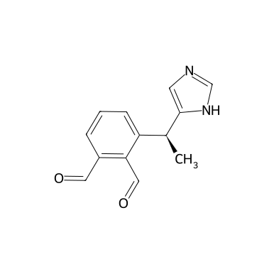 C[C@H](c1cnc[nH]1)c1cccc(C=O)c1C=O